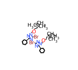 C[Si](C)(C)CCOCn1nc(-c2ccccc2)nc1Br.C[Si](C)(C)CCOCn1nc(Br)nc1-c1ccccc1